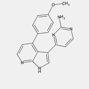 COc1ccc(-c2ccnc3[nH]cc(-c4ccnc(N)n4)c23)cc1